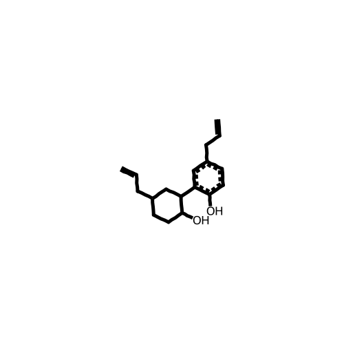 C=CCc1ccc(O)c(C2CC(CC=C)CCC2O)c1